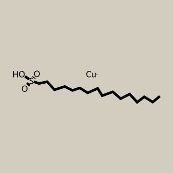 CCCCCCCCCCCCCCCCS(=O)(=O)O.[Cu]